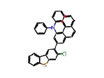 Clc1cc2sc3ccccc3c2cc1-c1cc(N(c2ccccc2)c2ccccc2)c2c(ccc3ccccc32)c1